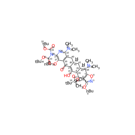 CCCCOc1noc2c1C(=O)[C@@]1(O[Si](C)(C)C(C)(C)C)C(O)=C3C(=O)c4c(c(N(C)C)nc(N(C(=O)OC(C)(C)C)C(=O)OC(C)(C)C)c4OCCCC)C[C@H]3C[C@H]1[C@@H]2N(C)C